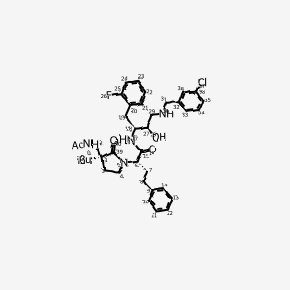 CCC(C)[C@@]1(NC(C)=O)CCN([C@@H](CCc2ccccc2)C(=O)N[C@@H](Cc2ccccc2F)[C@H](O)CNCc2cccc(Cl)c2)C1=O